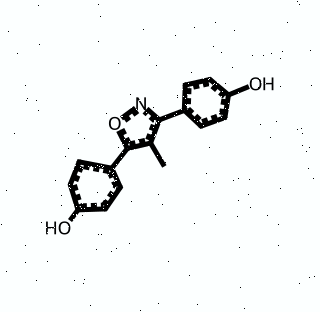 Cc1c(-c2ccc(O)cc2)noc1-c1ccc(O)cc1